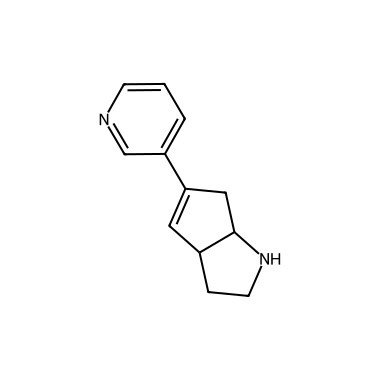 C1=C(c2cccnc2)CC2NCCC12